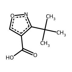 CC(C)(C)c1nocc1C(=O)O